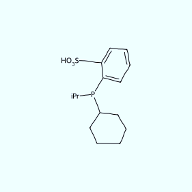 CC(C)P(c1ccccc1S(=O)(=O)O)C1CCCCC1